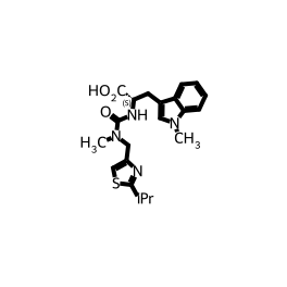 CC(C)c1nc(CN(C)C(=O)N[C@@H](Cc2cn(C)c3ccccc23)C(=O)O)cs1